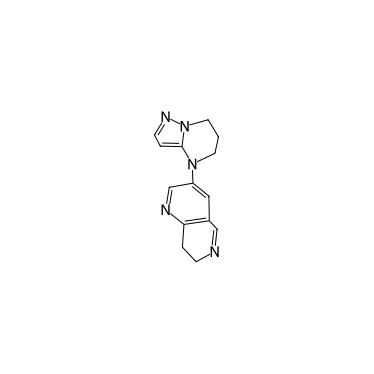 C1=NCCc2ncc(N3CCCn4nccc43)cc21